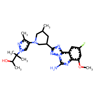 COc1cc(F)cc2c1nc(N)n1nc(C3CC(C)CN(c4cn(C(C)(C)C(C)O)nc4C)C3)nc21